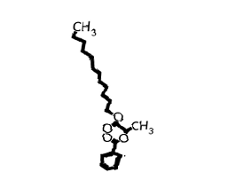 CCCCCCCCCCCCOC(=O)C(C)OC(=O)c1[c]cccc1